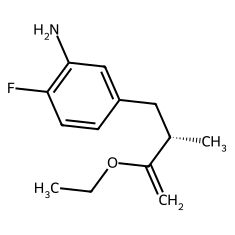 C=C(OCC)[C@@H](C)Cc1ccc(F)c(N)c1